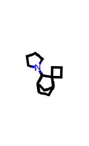 C1CCN(C2C3CCC(C3)C23CCC3)C1